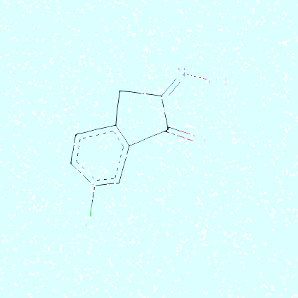 O=C1C(=NO)Cc2ccc(Cl)cc21